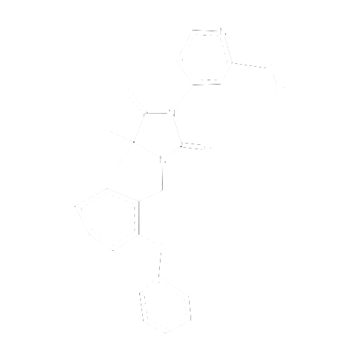 CCOc1cc(N2C(=O)N(Cc3ccccc3Oc3ccccc3)C(C)(C)C2=O)ccn1